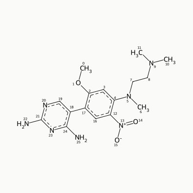 COc1cc(N(C)CCN(C)C)c([N+](=O)[O-])cc1-c1cnc(N)nc1N